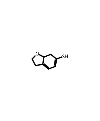 SC1=CC=C2CCOC2C1